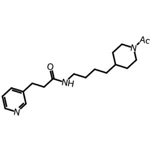 CC(=O)N1CCC(CCCCNC(=O)CCc2cccnc2)CC1